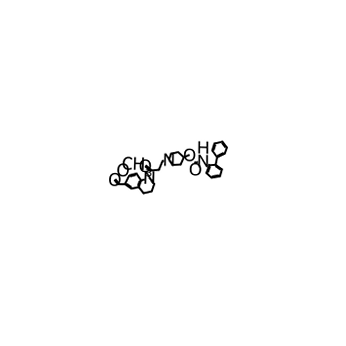 COc1cc2c(cc1C=O)CCCN2C(=O)CCN1CCC(OC(=O)Nc2ccccc2-c2ccccc2)CC1